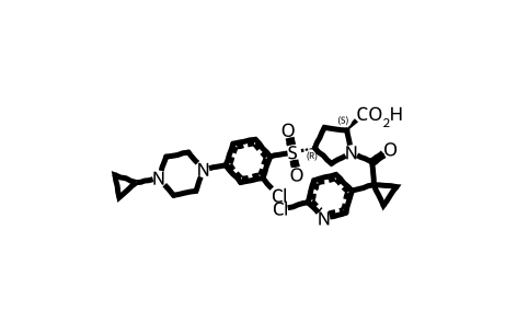 O=C(O)[C@@H]1C[C@@H](S(=O)(=O)c2ccc(N3CCN(C4CC4)CC3)cc2Cl)CN1C(=O)C1(c2ccc(Cl)nc2)CC1